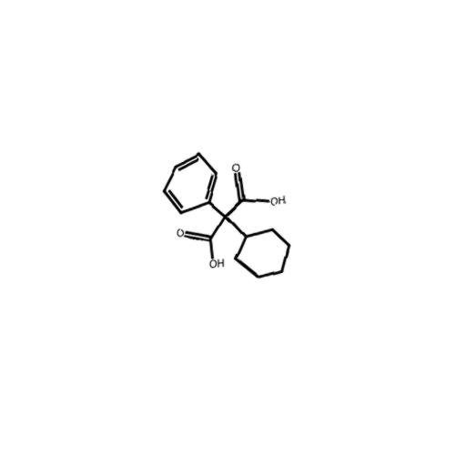 O=C(O)C(C(=O)O)(c1ccccc1)C1CCCCC1